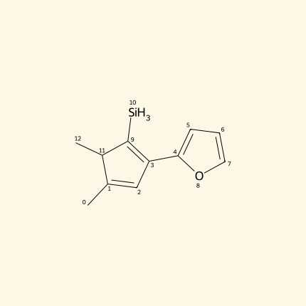 CC1=CC(c2ccco2)=C([SiH3])C1C